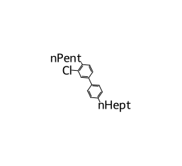 CCCCCCCc1ccc(-c2ccc(CCCCC)c(Cl)c2)cc1